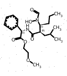 CCC[C@@H]([C@@H](CC(C)C)C(=O)N[C@H](C(=O)OCCOC)c1ccccc1)N(O)C=O